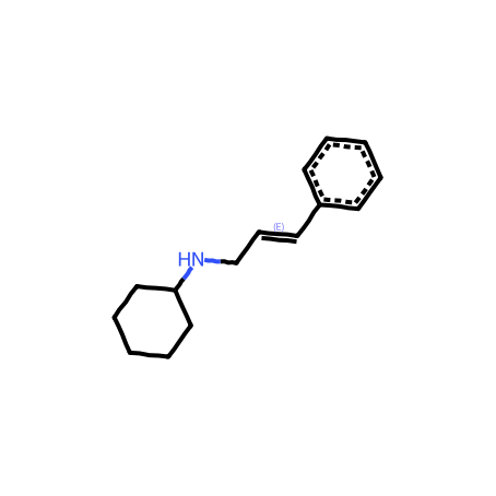 C(=C\c1ccccc1)/CNC1CCCCC1